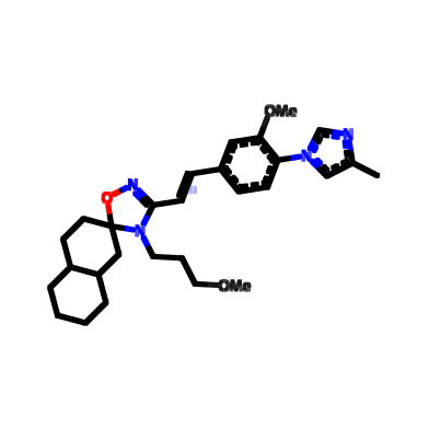 COCCCN1C(/C=C/c2ccc(-n3cnc(C)c3)c(OC)c2)=NOC12CCC1CCCCC1C2